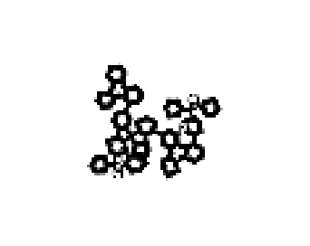 O=P(c1ccccc1)(c1ccccc1)c1ccc(-c2cccc3c4ccccc4c4cc(-c5cccc(C6(c7ccccc7)c7cc(-c8cccc9c%10ccccc%10c%10ccccc%10c89)ccc7-c7ccc(P(=O)(c8ccccc8)c8ccccc8)cc76)c5)ccc4c23)nc1